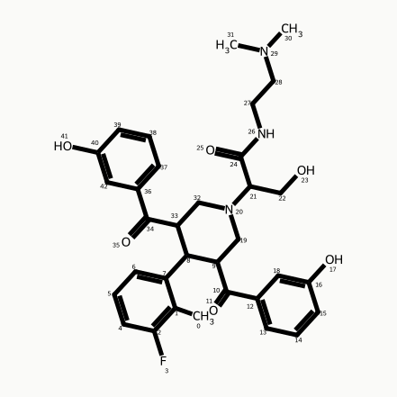 Cc1c(F)cccc1C1C(C(=O)c2cccc(O)c2)CN(C(CO)C(=O)NCCN(C)C)CC1C(=O)c1cccc(O)c1